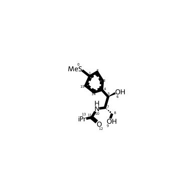 CSc1ccc([C@@H](O)[C@H](CO)NC(=O)C(C)C)cc1